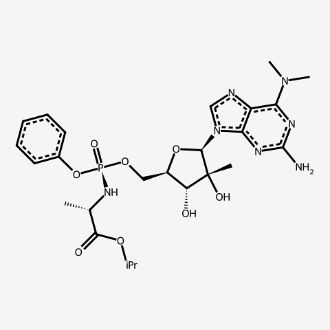 CC(C)OC(=O)[C@H](C)N[P@@](=O)(OC[C@H]1O[C@@H](n2cnc3c(N(C)C)nc(N)nc32)[C@](C)(O)[C@@H]1O)Oc1ccccc1